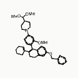 COc1cc(N2CCC(C(OC)OC)CC2)ccc1C1=C(C2=CCCCC2)CCc2cc(OCc3ccccc3)ccc21